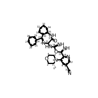 C[C@@H]1COCCN1c1cc(C#N)cnc1C(=N)OC(=N)NC1N=C(c2ccccc2)c2ccccc2NC1=O